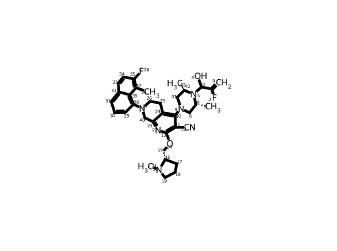 C=C(F)C(O)N1[C@H](C)CN(c2c(C#N)c(OC[C@@H]3CCCN3C)nc3c2CCN(c2cccc4ccc(F)c(C)c24)C3)C[C@@H]1C